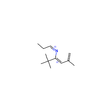 C=C(C)/C=C(\N=C/CC)C(C)(C)C